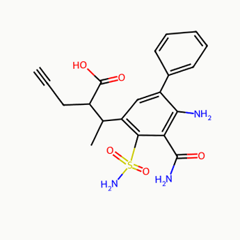 C#CCC(C(=O)O)C(C)c1cc(-c2ccccc2)c(N)c(C(N)=O)c1S(N)(=O)=O